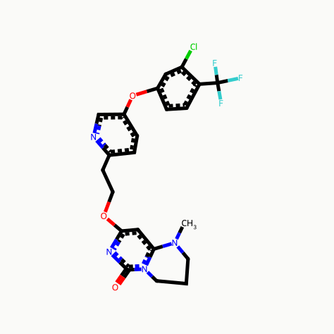 CN1CCCn2c1cc(OCCc1ccc(Oc3ccc(C(F)(F)F)c(Cl)c3)cn1)nc2=O